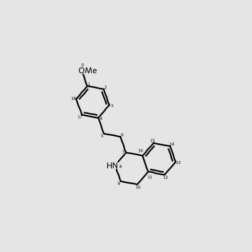 COc1ccc(CCC2NCCc3ccccc32)cc1